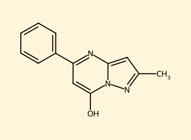 Cc1cc2nc(-c3ccccc3)cc(O)n2n1